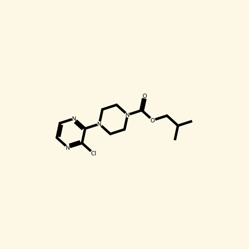 CC(C)COC(=O)N1CCN(c2nccnc2Cl)CC1